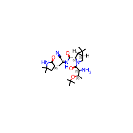 C[C@@H](OC(C)(C)C)[C@H](N)C(=O)N1C[C@H]2[C@@H]([C@H]1C(=O)N[C@H](C#N)C[C@@H]1CC(C)(C)NC1=O)C2(C)C